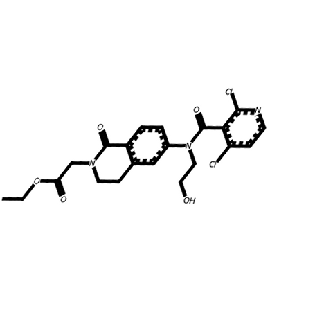 CCOC(=O)CN1CCc2cc(N(CCO)C(=O)c3c(Cl)ccnc3Cl)ccc2C1=O